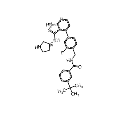 CC(C)(C)c1cccc(C(=O)NCc2ccc(-c3ccnc4[nH]nc(N[C@@H]5CCNC5)c34)cc2F)c1